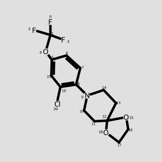 FC(F)(F)Oc1ccc(N2CCC3(CC2)OCCO3)c(Cl)c1